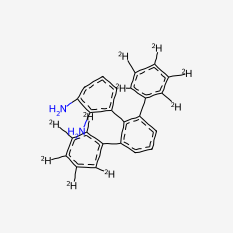 [2H]c1c([2H])c([2H])c(-c2cccc(-c3c([2H])c([2H])c([2H])c([2H])c3[2H])c2-c2cccc(N)c2N)c([2H])c1[2H]